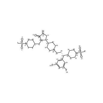 CS(=O)(=O)N1CCC(CN2C(=O)NCC2C2CCN(CC[C@@H](c3cc(F)cc(F)c3)C3CCN(S(C)(=O)=O)CC3)CC2)CC1